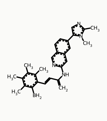 Bc1c(C)c(C)c(C)c(C)c1/C=C/C(=C)Nc1cc2cc(-c3cnc(C)n3C)ccc2cn1